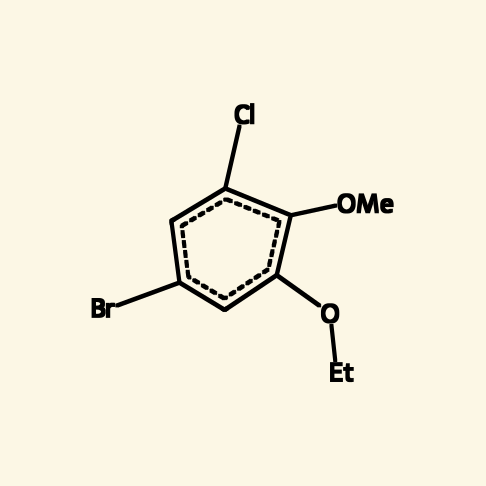 CCOc1cc(Br)cc(Cl)c1OC